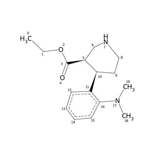 CCOC(=O)[C@H]1CNCC[C@H]1c1ccccc1N(C)C